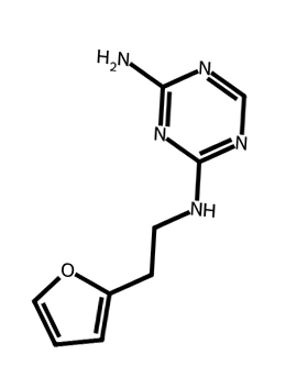 Nc1ncnc(NCCc2ccco2)n1